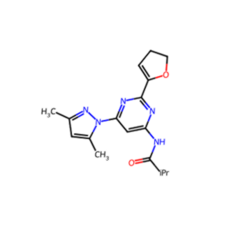 Cc1cc(C)n(-c2cc(NC(=O)C(C)C)nc(C3=CCCO3)n2)n1